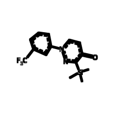 C[Si](C)(C)c1nn(-c2cccc(C(F)(F)F)c2)ccc1=O